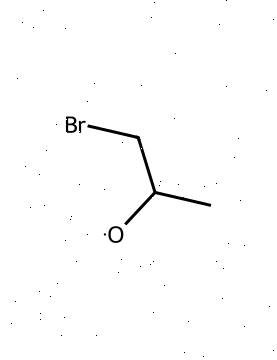 CC([O])CBr